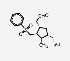 CC[C@@H](C)C[C@H]1C[C@@H](CC=O)[C@H](CS(=O)(=O)c2ccccc2)[C@H]1C